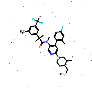 CCOC(=O)CC1CCN(c2cc(-c3ccc(F)cc3C)c(N(C)C(=O)C(C)(C)c3cc(C(F)(F)F)cc(C(F)(F)CC)c3)cn2)CC1C